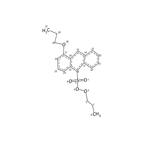 CCCOOS(=O)(=O)c1c2ccccc2cc2c(OCCC)cccc12